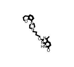 Cc1nc(OCCCCN2CCN(c3cccc4c3OCCC4)CC2)nc2[nH]c(=O)ccc12